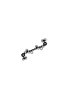 O=C(CCCCC(=O)OCC(=O)COc1cccc([N+](=O)[O-])c1)COC(=O)COc1cccc([N+](=O)[O-])c1